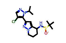 CC(C)n1ncc(Cl)c1-c1cc2n(n1)CCCC2N[S+]([O-])C(C)(C)C